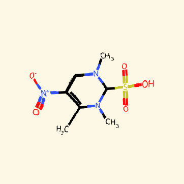 CC1=C([N+](=O)[O-])CN(C)C(S(=O)(=O)O)N1C